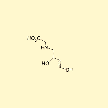 O=C(O)CNCC(O)C=CO